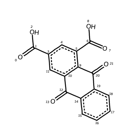 O=C(O)c1cc(C(=O)O)c2c(c1)C(=O)c1ccccc1C2=O